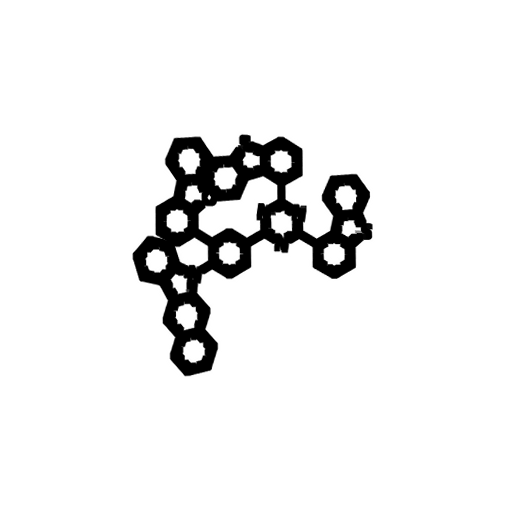 c1ccc2cc3c(cc2c1)c1ccccc1n3-c1ccc(-c2nc(-c3cccc4sc5ccccc5c34)nc(-c3cccc4sc5ccccc5c34)n2)cc1-c1cccc2c1oc1ccccc12